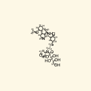 O=C([C@@H](O)[C@@H](O)[C@H](O)[C@@H](O)CO)N(CCCSc1ccc(Cl)c(CNC2(c3cnccc3-c3ccccc3OC3CC3)CC2)c1)C1CCOCC1